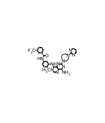 Cc1ccc(NC(=O)c2cccc(C(F)(F)F)c2)cc1Nc1ncnc2c(N)nc(N3CCCN(c4ncccn4)CC3)nc12